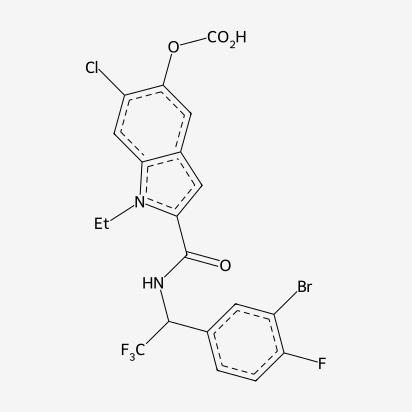 CCn1c(C(=O)NC(c2ccc(F)c(Br)c2)C(F)(F)F)cc2cc(OC(=O)O)c(Cl)cc21